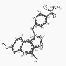 COc1ccc2c(n1)nc(C)c1nnn(Cc3ccc(S(N)(=O)=O)cn3)c12